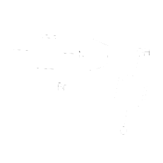 Cc1ccc(N2CCC(c3cc(Cl)ccc3O)C2)c(Br)c1